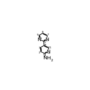 Nc1ccc(-c2ncccn2)cn1